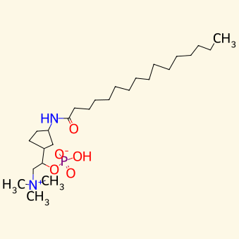 CCCCCCCCCCCCCCCC(=O)NC1CCC(C(C[N+](C)(C)C)OP(=O)([O-])O)C1